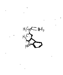 C[C@H](Cc1c(I)[nH]c2ccccc12)N(C)C